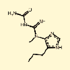 CCCc1[nH]cnc1N(C)C(=N)NC(N)=O